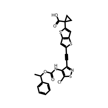 CC(OC(=O)Nc1c(C#Cc2cc3sc(C4(C(=O)O)CC4)cc3s2)nsc1Cl)c1ccccc1